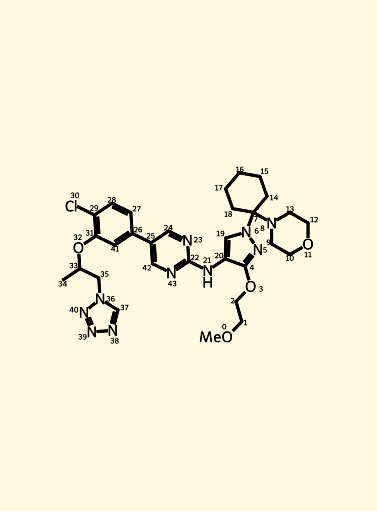 COCCOc1nn(C2(N3CCOCC3)CCCCC2)cc1Nc1ncc(-c2ccc(Cl)c(OC(C)Cn3cnnn3)c2)cn1